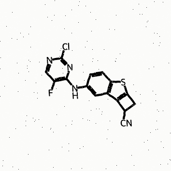 N#CC1Cc2sc3ccc(Nc4nc(Cl)ncc4F)cc3c21